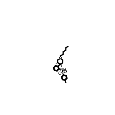 CCCCCCN1CC[C@](C)(c2ccccc2NS(=O)(=O)c2ccc(C)cc2)[C@H](C)C1